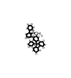 Cc1ccc(C2(c3ccccc3)c3ccccc3-c3ccccc32)cc1-c1cccc2c1sc1ccccc12